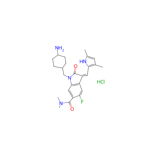 Cc1cc(C)c(/C=C2\C(=O)N(CC3CCC(N)CC3)c3cc(C(=O)N(C)C)c(F)cc32)[nH]1.Cl